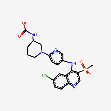 CS(=O)(=O)c1cnc2ccc(Br)cc2c1Nc1ccc(N2CCCC(NC(=O)O)C2)nc1